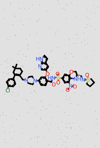 CC1(C)CCC(CN2CCN(c3ccc(C(=O)NS(=O)(=O)c4cc5c(c([N+](=O)[O-])c4)N[C@@H](CN=S4(=O)CCCC4)CO5)c(Oc4cnc5[nH]ccc5c4)c3)CC2)=C(c2ccc(Cl)cc2)C1